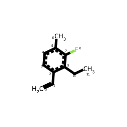 C=Cc1ccc(C)c(F)c1CC